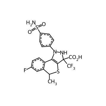 CC1SC2=C(c3ccc(F)cc31)N(c1ccc(S(N)(=O)=O)cc1)NC2(C(=O)O)C(F)(F)F